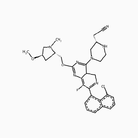 CO[C@@H]1C[C@@H](COC2=NC3=C(F)C(c4cccc5cccc(Cl)c45)=NCC3C(N3CCN[C@@H](CC#N)C3)=N2)N(C)C1